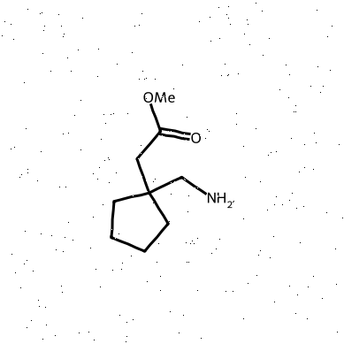 COC(=O)CC1(CN)CCCC1